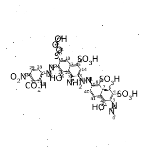 CN=Nc1c(S(=O)(=O)O)cc2c(S(=O)(=O)O)c(N=Nc3cc(S(=O)(=O)O)c4cc(SOOO)c(N=Nc5ccc([N+](=O)[O-])cc5C(=O)O)c(O)c4c3N)ccc2c1O